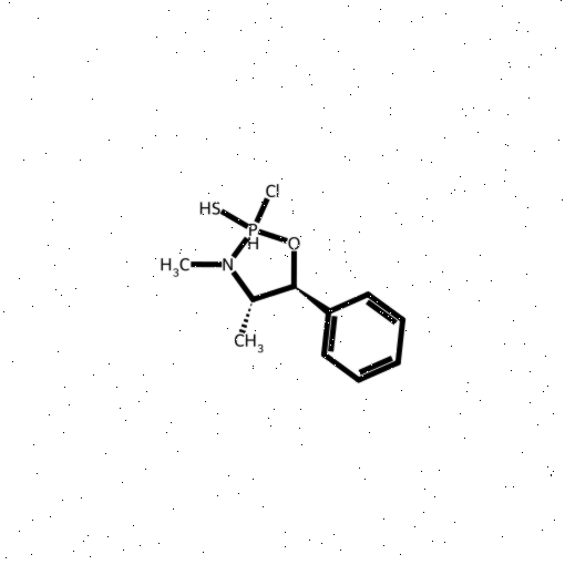 C[C@H]1[C@H](c2ccccc2)O[PH](S)(Cl)N1C